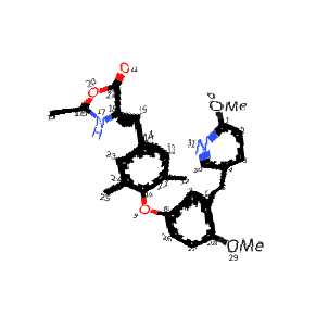 COc1ccc(Cc2cc(Oc3c(C)cc(/C=C4\NC(C)OC4=O)cc3C)ccc2OC)cn1